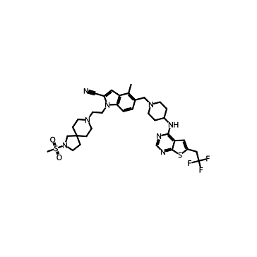 Cc1c(CN2CCC(Nc3ncnc4sc(CC(F)(F)F)cc34)CC2)ccc2c1cc(C#N)n2CCN1CCC2(CC1)CCN(S(C)(=O)=O)C2